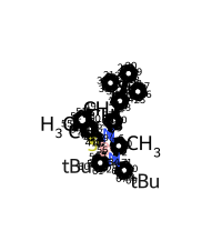 Cc1cc2c3c(c1)N(c1ccc(-c4ccc([Si](c5ccccc5)(c5ccccc5)c5ccccc5)cc4)cc1)c1c(sc4cc5c(cc14)C(C)(C)CCC5(C)C)B3c1cc(C(C)(C)C)ccc1N2c1ccc(C(C)(C)C)cc1